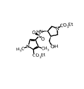 CCOC(=O)c1c(C)c(S(=O)(=O)N[C@H]2CN(C(=O)OCC)C[C@H]2CO)cn1C